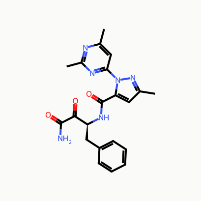 Cc1cc(-n2nc(C)cc2C(=O)N[C@@H](Cc2ccccc2)C(=O)C(N)=O)nc(C)n1